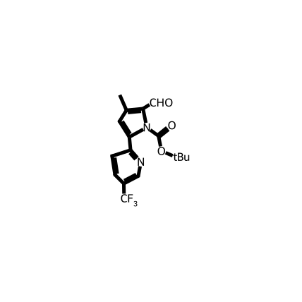 Cc1cc(-c2ccc(C(F)(F)F)cn2)n(C(=O)OC(C)(C)C)c1C=O